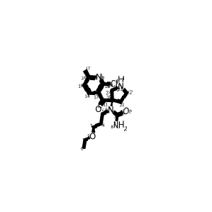 CCOCCCN(C(N)=O)[C@]1(C(=O)c2ccc(C)nc2Cl)CCNC1